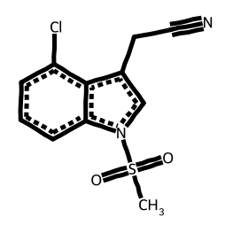 CS(=O)(=O)n1cc(CC#N)c2c(Cl)cccc21